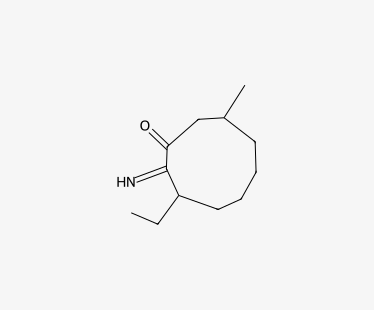 CCC1CCCCC(C)CC(=O)C1=N